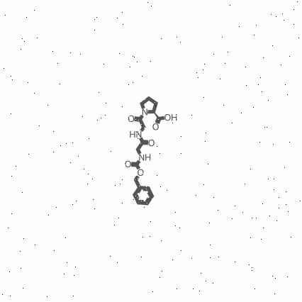 O=C(CNC(=O)OCc1ccccc1)NCC(=O)N1CCC[C@H]1C(=O)O